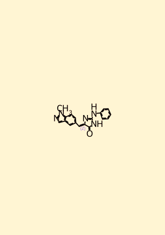 Cn1ncc2cc(/C=C3\N=C(Nc4ccccc4)NC3=O)ccc21